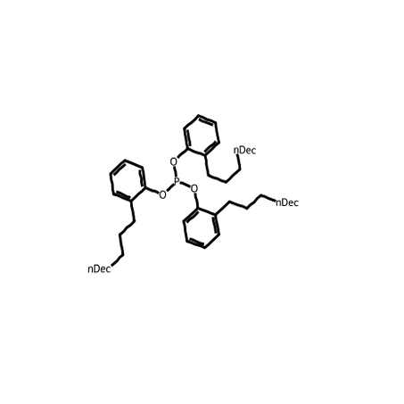 CCCCCCCCCCCCCc1ccccc1OP(Oc1ccccc1CCCCCCCCCCCCC)Oc1ccccc1CCCCCCCCCCCCC